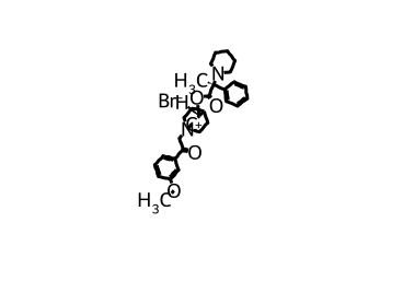 COc1cccc(C(=O)C[N+]23CCC(CC2)[C@@H](OC(=O)[C@](C)(c2ccccc2)N2CCCCC2)C3)c1.[Br-]